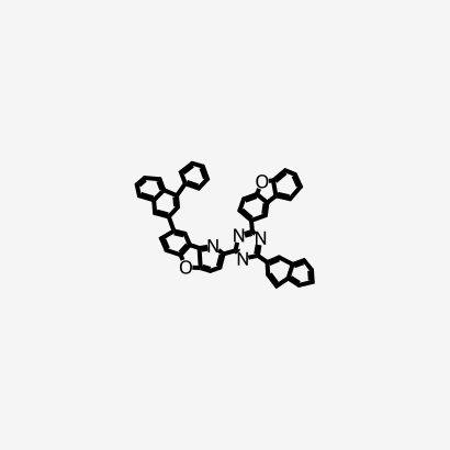 c1ccc(-c2cc(-c3ccc4oc5ccc(-c6nc(-c7ccc8ccccc8c7)nc(-c7ccc8oc9ccccc9c8c7)n6)nc5c4c3)cc3ccccc23)cc1